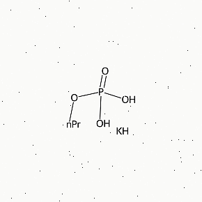 CCCOP(=O)(O)O.[KH]